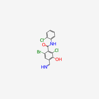 N=Cc1cc(Br)c(C(=O)Nc2ccccc2Cl)c(Cl)c1O